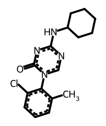 Cc1cccc(Cl)c1-n1cnc(NC2CCCCC2)nc1=O